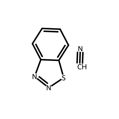 C#N.c1ccc2snnc2c1